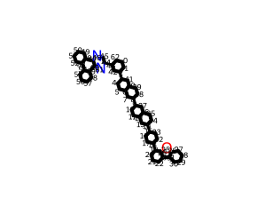 c1cc(-c2ccc3cc(-c4ccc5cc(-c6ccc(-c7cccc8c7oc7ccccc78)cc6)ccc5c4)ccc3c2)cc(-c2cnc3c4ccccc4c4ccccc4c3n2)c1